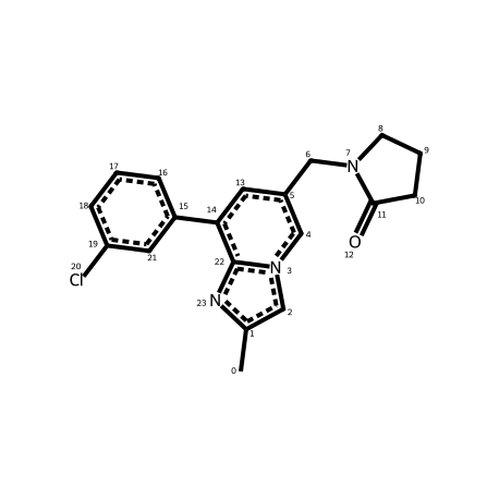 Cc1cn2cc(CN3CCCC3=O)cc(-c3cccc(Cl)c3)c2n1